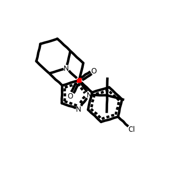 CC(C)(C)n1ncc2c1CC1CCCC2N1S(=O)(=O)c1ccc(Cl)cc1